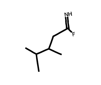 CC(C)C(C)CC(=N)F